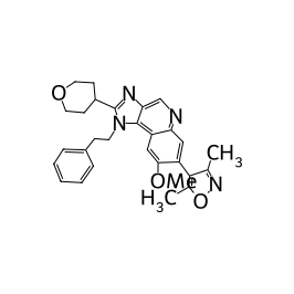 COc1cc2c(cc1-c1c(C)noc1C)ncc1nc(C3CCOCC3)n(CCc3ccccc3)c12